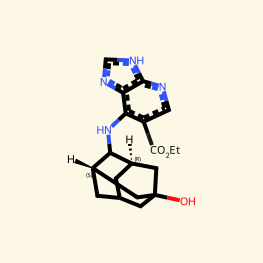 CCOC(=O)c1cnc2[nH]cnc2c1NC1[C@@H]2CC3C[C@H]1CC(O)(C3)C2